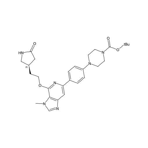 Cn1cnc2cc(-c3ccc(N4CCN(C(=O)OC(C)(C)C)CC4)cc3)nc(OCC[C@H]3CNC(=O)C3)c21